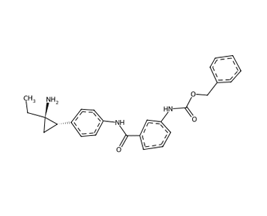 CC[C@@]1(N)C[C@H]1c1ccc(NC(=O)c2cccc(NC(=O)OCc3ccccc3)c2)cc1